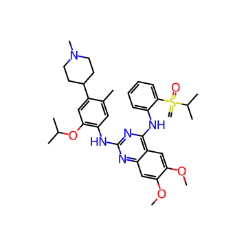 C=S(=O)(c1ccccc1Nc1nc(Nc2cc(C)c(C3CCN(C)CC3)cc2OC(C)C)nc2cc(OC)c(OC)cc12)C(C)C